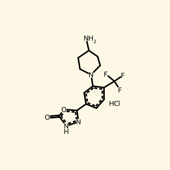 Cl.NC1CCN(c2cc(-c3n[nH]c(=O)o3)ccc2C(F)(F)F)CC1